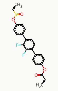 C=CC(=O)Oc1ccc(-c2ccc(-c3ccc(OS(=O)C=C)cc3)c(F)c2F)cc1